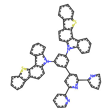 c1ccc(-c2cc(-c3cc(-n4c5ccccc5c5c6sc7ccccc7c6ccc54)cc(-n4c5ccccc5c5c6sc7ccccc7c6ccc54)c3)cc(-c3ccccn3)n2)nc1